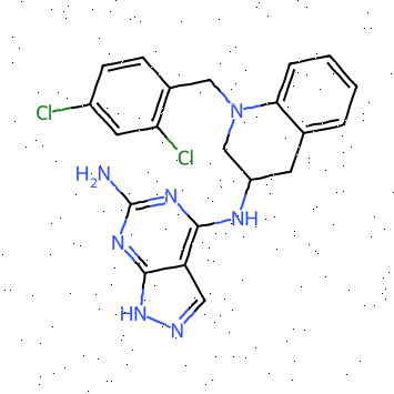 Nc1nc(NC2Cc3ccccc3N(Cc3ccc(Cl)cc3Cl)C2)c2cn[nH]c2n1